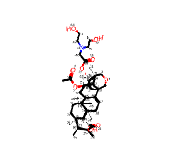 CC(=O)O[C@@H]1C[C@]23COC[C@@](C)([C@@H]2CC[C@H]2C3=CC[C@@]3(C)[C@H](C(=O)O)[C@@](C)([C@H](C)C(C)C)CC[C@]23C)[C@H]1OC(=O)CN(CCO)CCO